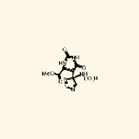 COC(=O)c1[nH]c(=O)[nH]c(=O)c1C1(NC(=O)O)C=NN=N1